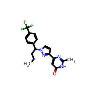 CCCC(c1ccc(C(F)(F)F)cc1)n1ccc(-c2cc(=O)[nH]c(C)n2)n1